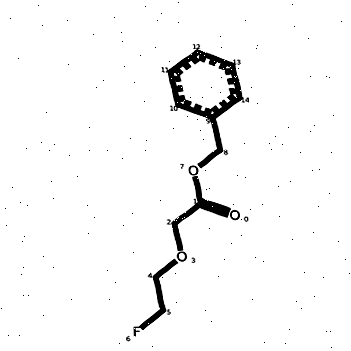 O=C(COCCF)OCc1ccccc1